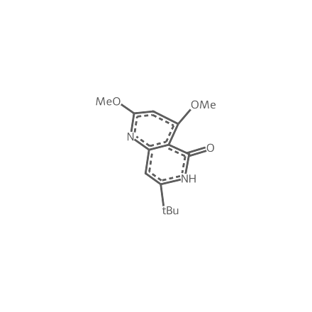 COc1cc(OC)c2c(=O)[nH]c(C(C)(C)C)cc2n1